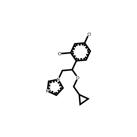 Clc1ccc(C(Cn2ccnc2)OCC2CC2)c(Cl)c1